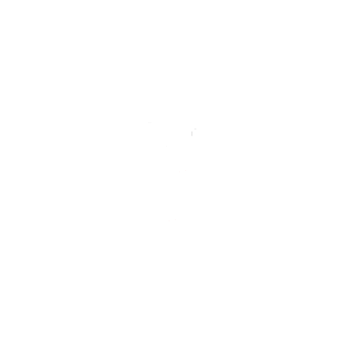 CCC1(C(C)C)CCC(=O)O1